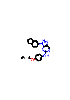 CCCCCOc1ccc(Nc2ncc3nnn(-c4ccc5c(c4)CCC5)c3n2)cc1